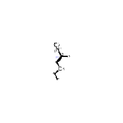 [C-]#[N+]/C(C)=C/OCC